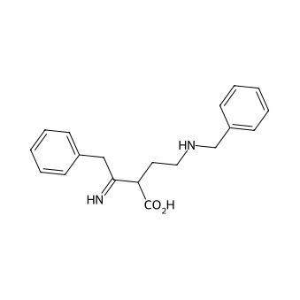 N=C(Cc1ccccc1)C(CCNCc1ccccc1)C(=O)O